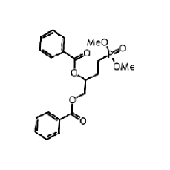 COP(=O)(CCC(COC(=O)c1ccccc1)OC(=O)c1ccccc1)OC